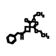 CCOC(=O)C1(C(=O)OCC)CC(NCc2ccccc2)C1